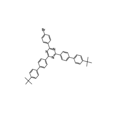 CC(C)(C)c1ccc(-c2ccc(-c3nc(-c4ccc(Br)cc4)nc(-c4ccc(-c5ccc(C(C)(C)C)cc5)cc4)n3)cc2)cc1